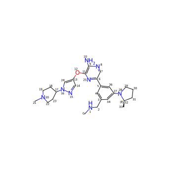 CNCc1cc(-c2cnc(N)c(Oc3cnn(C4CCN(C)CC4)c3)n2)cc(N2CCC[C@H]2C)c1